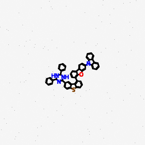 c1ccc(C2N=C(c3ccc4sc5cccc(-c6cccc7c6oc6cc(-n8c9ccccc9c9ccccc98)ccc67)c5c4c3)NC(c3ccccc3)N2)cc1